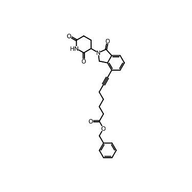 O=C1CCC(N2Cc3c(C#CCCCCC(=O)OCc4ccccc4)cccc3C2=O)C(=O)N1